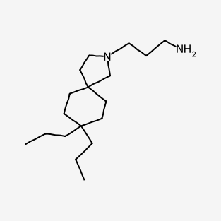 CCCC1(CCC)CCC2(CCN(CCCN)C2)CC1